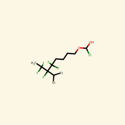 CCC(CC)C(F)(C(C)(F)F)C(F)(F)CCCCOC(O)Cl